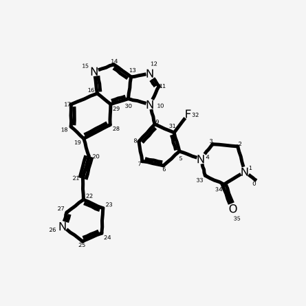 CN1CCN(c2cccc(-n3cnc4cnc5ccc(C#Cc6cccnc6)cc5c43)c2F)CC1=O